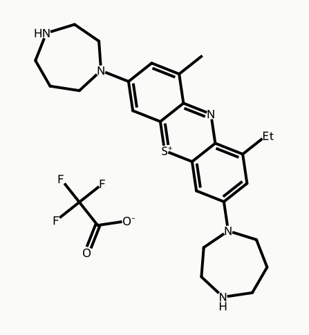 CCc1cc(N2CCCNCC2)cc2[s+]c3cc(N4CCCNCC4)cc(C)c3nc12.O=C([O-])C(F)(F)F